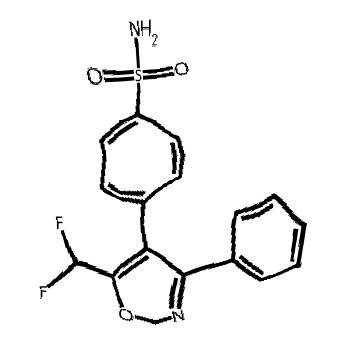 NS(=O)(=O)c1ccc(-c2c(-c3ccccc3)noc2C(F)F)cc1